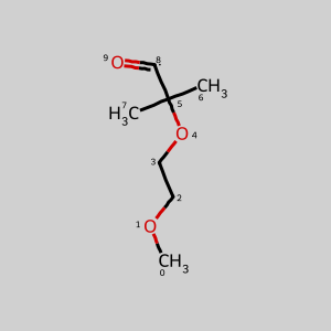 COCCOC(C)(C)[C]=O